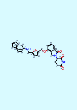 O=C1CCC(N2Cc3c(OCc4ccc(CNC56CC7CC8CC(C5)C7C8C6)o4)cccc3C2=O)C(=O)N1